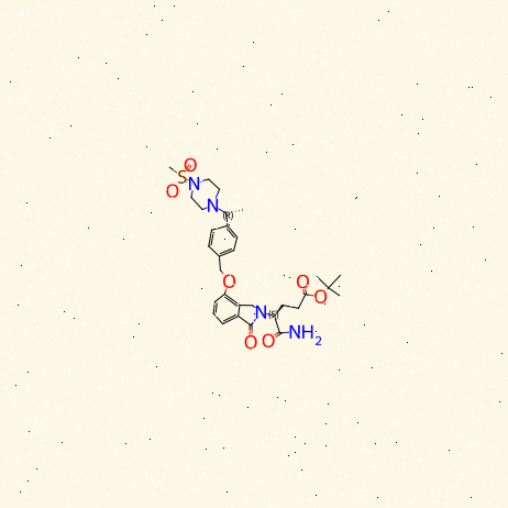 C[C@H](c1ccc(COc2cccc3c2CN([C@@H](CCC(=O)OC(C)(C)C)C(N)=O)C3=O)cc1)N1CCN(S(C)(=O)=O)CC1